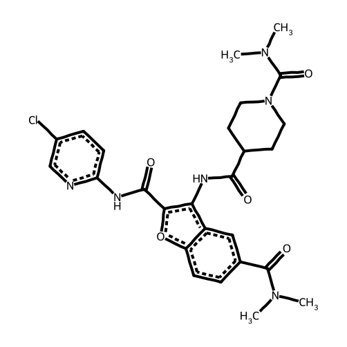 CN(C)C(=O)c1ccc2oc(C(=O)Nc3ccc(Cl)cn3)c(NC(=O)C3CCN(C(=O)N(C)C)CC3)c2c1